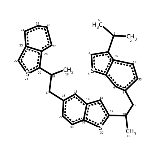 CC(C)c1csc2cc(CC(C)c3cc4cc(CC(C)c5scc6ccccc56)ccc4s3)ccc12